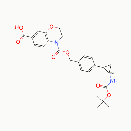 CC(C)(C)OC(=O)N[C@H]1CC1c1ccc(COC(=O)N2CCOc3cc(C(=O)O)ccc32)cc1